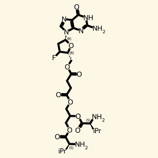 CC(C)[C@H](N)C(=O)OCC(COC(=O)CCC(=O)OC[C@H]1O[C@@H](n2cnc3c(=O)[nH]c(N)nc32)CC1F)OC(=O)[C@@H](N)C(C)C